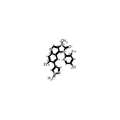 CCc1cnc(-n2c(=O)n(C)c3cnc4cc(CC)c(-c5cnn(C)c5)cc4c32)c(F)c1